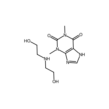 Cn1c(=O)c2[nH]cnc2n(C)c1=O.OCCNCCO